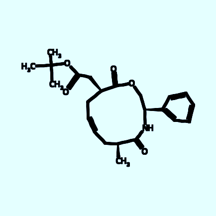 C[C@H]1C/C=C\C[C@@H](CC(=O)OC(C)(C)C)C(=O)OC[C@@H](c2ccccc2)NC1=O